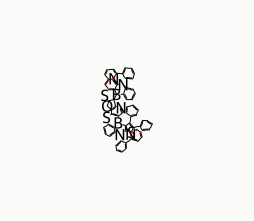 c1ccc(-c2sc3c(c2-c2ccccc2)B2c4cnc5c(c4Sc4cccc(c42)N3c2ccccc2-c2ccccn2)OC2Sc3cccc4c3B(c3ccccc3N4c3ccccc3-c3ccccn3)C52)cc1